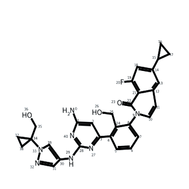 Nc1cc(-c2cccc(-n3ccc4cc(C5CC5)cc(F)c4c3=O)c2CO)nc(Nc2cnn(C3(CO)CC3)c2)n1